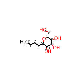 CCCC[C]1O[C@H](CO)[C@@H](O)[C@H](O)[C@H]1O